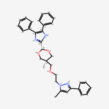 Cc1cc(-c2ccccc2)nn1CCOC[C@]1(C)CO[C@@H](c2nc(-c3ccccc3)c(-c3ccccc3)[nH]2)OC1